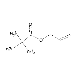 C=CCOC(=O)C(N)(N)CCC